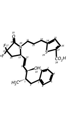 C[C@@H](Cc1ccccc1)[C@H](O)C=C[C@H]1CC(F)(F)C(=O)N1CCCc1ccc(C(=O)O)s1